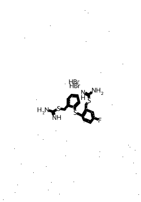 Br.Br.N=C(N)SCc1ccccc1Sc1ccc(F)cc1CSC(=N)N